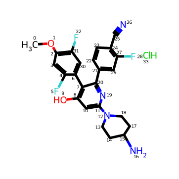 COc1cc(F)c(-c2c(O)cc(N3CCC(N)CC3)nc2-c2ccc(C#N)c(F)c2)cc1F.Cl